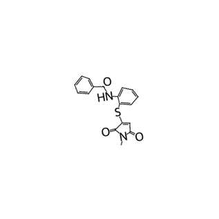 CN1C(=O)C=C(Sc2ccccc2NC(=O)c2ccccc2)C1=O